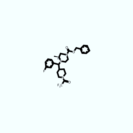 C[C@H]1CN(C(=O)OCc2ccccc2)CCN1C(c1cccc(F)c1)C1CCN(C(=O)C(F)(F)F)CC1